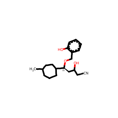 CC1CCCC([C@H](CC(O)CC#N)OCc2ccccc2O)CC1